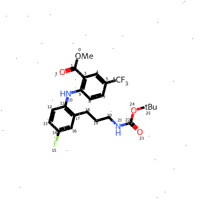 COC(=O)c1cc(C(F)(F)F)ccc1Nc1ccc(F)cc1CCCNC(=O)OC(C)(C)C